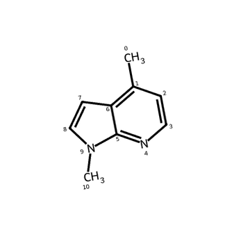 Cc1ccnc2c1ccn2C